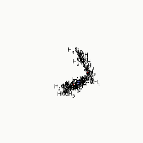 C=C(CC(=O)O)C(=O)O.C=C(CCCC)C(=O)O.C=CC=C.C=CC=C.C=CC=C.C=CC=CC=Cc1ccccc1.C=Cc1ccccc1.C=Cc1ccccc1.C=Cc1ccccc1.CCCCC=C(C=C(C)C(=O)O)C(=O)O.CCCCC=C(C=CC(=O)O)C(=O)O.O=C(O)/C=C\C(=O)O